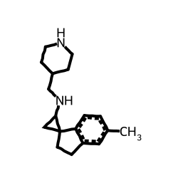 Cc1ccc2c(c1)CCC21CC1NCC1CCNCC1